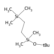 CC(C)(C)O[Si](C)(C)CC[Si](C)(C)C